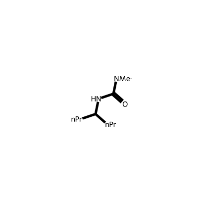 CCCC(CCC)NC(=O)[N]C